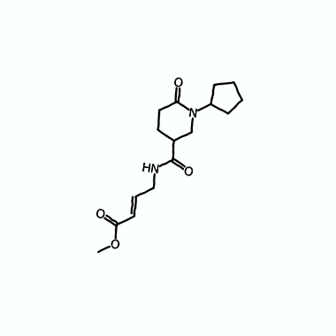 COC(=O)/C=C/CNC(=O)C1CCC(=O)N(C2CCCC2)C1